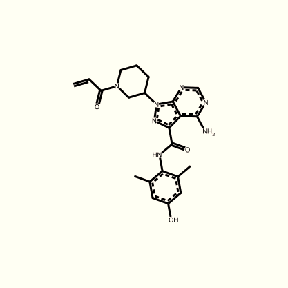 C=CC(=O)N1CCCC(n2nc(C(=O)Nc3c(C)cc(O)cc3C)c3c(N)ncnc32)C1